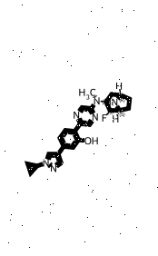 CN(c1cnc(-c2ccc(-c3cnn(C4CC4)c3)cc2O)cn1)[C@@H]1C[C@H]2CC[C@H](N2)[C@@H]1F